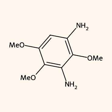 COc1cc(N)c(OC)c(N)c1OC